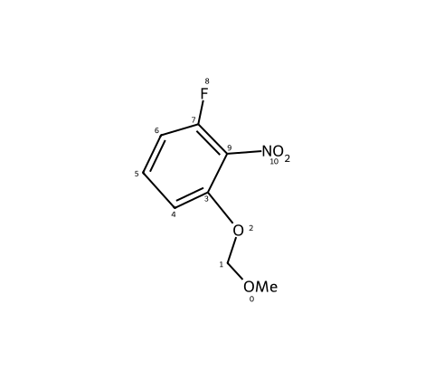 COCOc1cccc(F)c1[N+](=O)[O-]